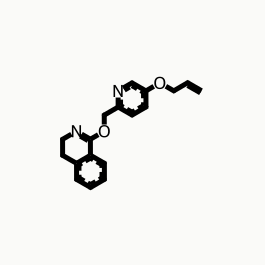 C=CCOc1ccc(COC2=NCCc3ccccc32)nc1